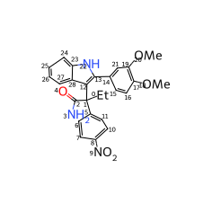 CCC(C(N)=O)(c1ccc([N+](=O)[O-])cc1)c1c(-c2ccc(OC)c(OC)c2)[nH]c2ccccc12